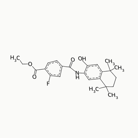 CCOC(=O)c1ccc(C(=O)Nc2cc3c(cc2O)C(C)(C)CCC3(C)C)cc1F